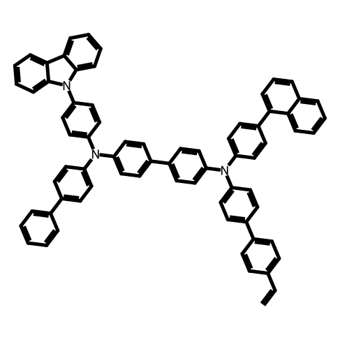 C=Cc1ccc(-c2ccc(N(c3ccc(-c4ccc(N(c5ccc(-c6ccccc6)cc5)c5ccc(-n6c7ccccc7c7ccccc76)cc5)cc4)cc3)c3ccc(-c4cccc5ccccc45)cc3)cc2)cc1